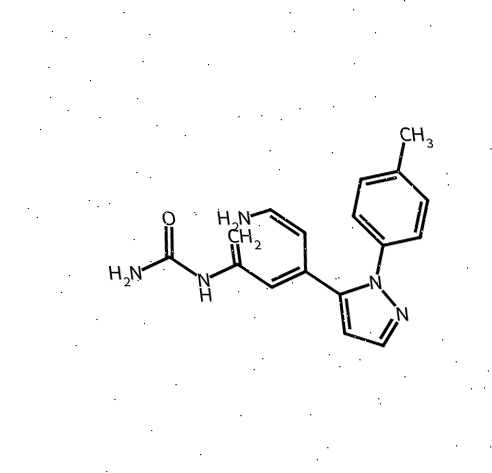 C=C(/C=C(\C=C/N)c1ccnn1-c1ccc(C)cc1)NC(N)=O